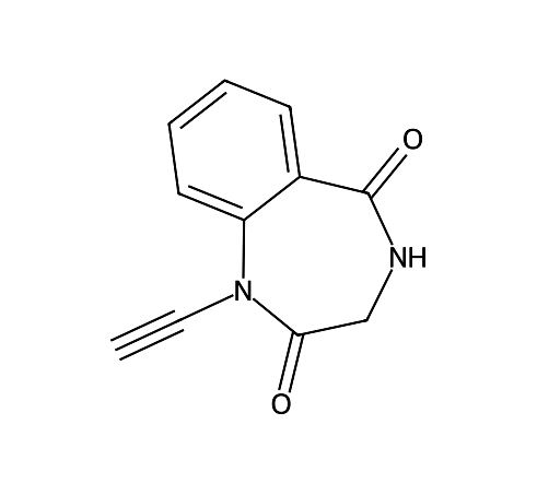 C#CN1C(=O)CNC(=O)c2ccccc21